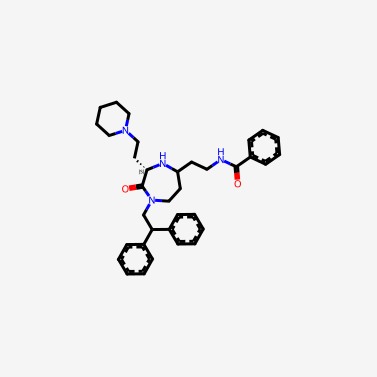 O=C(NCCC1CCN(CC(c2ccccc2)c2ccccc2)C(=O)[C@H](CCN2CCCCC2)N1)c1ccccc1